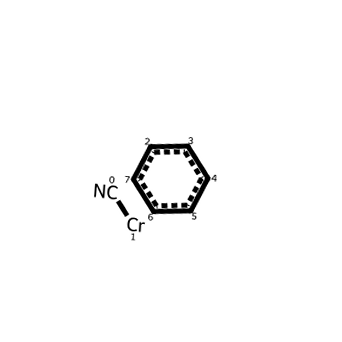 N#[C][Cr].c1ccccc1